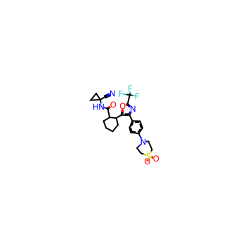 N#CC1(NC(=O)C2CCCCC2c2oc(C(F)(F)F)nc2-c2ccc(N3CCS(=O)(=O)CC3)cc2)CC1